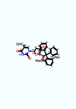 COc1ccccc1C(c1ccccc1)(c1ccccc1OC)C(O)[C@H]1O[C@@H](n2cc(C=O)c(=O)[nH]c2=O)C[C@@H]1O